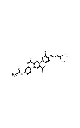 CC(=O)Oc1ccc(-c2cc(C(F)F)c(-c3ccc(OCC=C(C)C)c(F)c3)cc2C(F)F)cc1